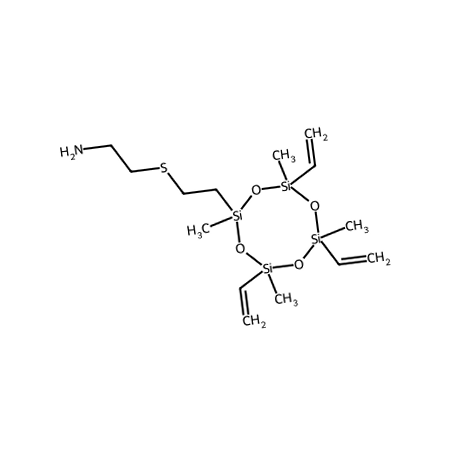 C=C[Si]1(C)O[Si](C)(C=C)O[Si](C)(CCSCCN)O[Si](C)(C=C)O1